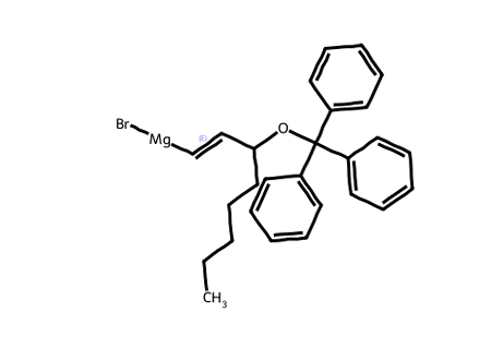 CCCCCC(/C=[CH]/[Mg][Br])OC(c1ccccc1)(c1ccccc1)c1ccccc1